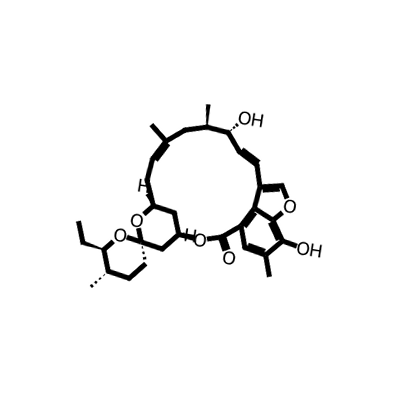 CC[C@H]1O[C@]2(CC[C@@H]1C)C[C@@H]1C[C@@H](C/C=C(/C)C[C@@H](C)[C@H](O)/C=C/c3coc4c(O)c(C)cc(c34)C(=O)O1)O2